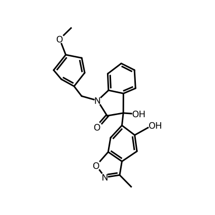 COc1ccc(CN2C(=O)C(O)(c3cc4onc(C)c4cc3O)c3ccccc32)cc1